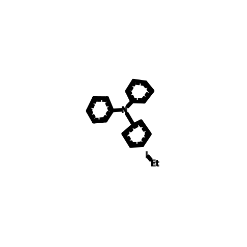 CCI.c1ccc(N(c2ccccc2)c2ccccc2)cc1